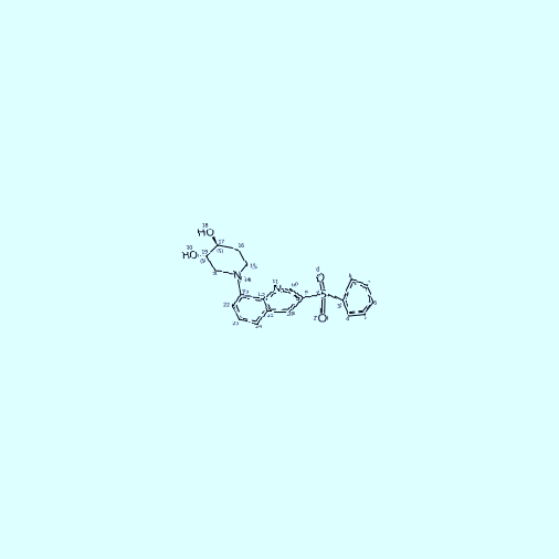 O=S(=O)(c1ccccc1)c1cnc2c(N3CC[C@H](O)[C@@H](O)C3)cccc2c1